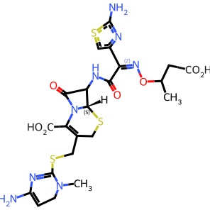 CC(CC(=O)O)O/N=C(\C(=O)NC1C(=O)N2C(C(=O)O)=C(CSC3=NC(N)=CCN3C)CS[C@@H]12)c1csc(N)n1